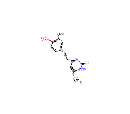 COc1cc(C=Cc2cc(C(F)(F)F)[nH]c(=O)n2)ccc1O